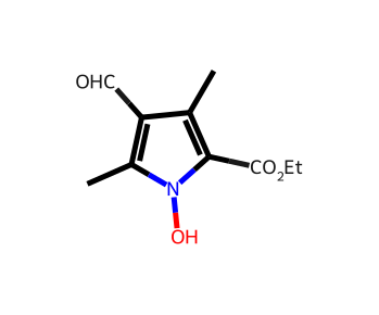 CCOC(=O)c1c(C)c(C=O)c(C)n1O